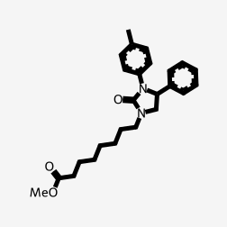 COC(=O)CCCCCCCN1CC(c2ccccc2)N(c2ccc(C)cc2)C1=O